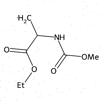 [CH2]C(NC(=O)OC)C(=O)OCC